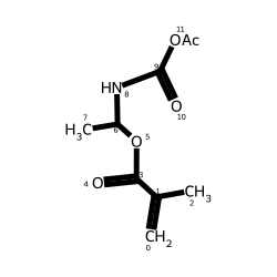 C=C(C)C(=O)OC(C)NC(=O)OC(C)=O